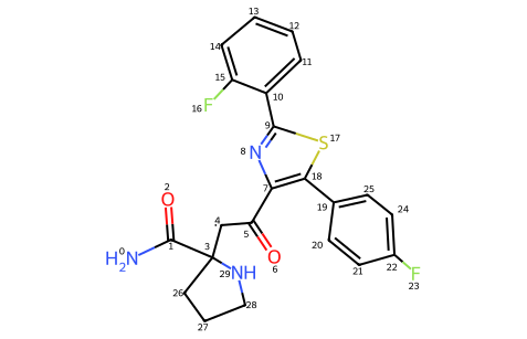 NC(=O)C1([CH]C(=O)c2nc(-c3ccccc3F)sc2-c2ccc(F)cc2)CCCN1